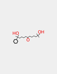 CC(C)(CO)CCCCC(=O)CCCCC(C)(CO)c1ccccc1